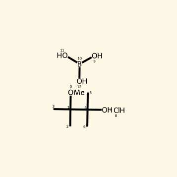 COC(C)(C)C(C)(C)O.Cl.OB(O)O